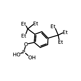 CCC(CC)(CC)c1ccc(OP(O)O)c(C(CC)(CC)CC)c1